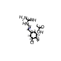 CC(=O)O.N=C(N)N/N=C/c1ccc(F)c(Cl)c1